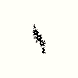 CCCCOC1CCC(c2ccc(-c3ccc(OCC)cc3F)c(F)c2F)OC1